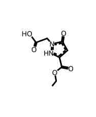 CCOC(=O)c1cc(=O)n(CC(=O)O)[nH]1